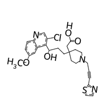 COc1ccc2ncc(Cl)c(C(O)CCC3(CC(=O)O)CCN(CC#Cc4nccs4)CC3)c2c1